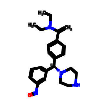 C=C(c1ccc([C@@H](c2cccc(N=O)c2)N2CCNCC2)cc1)N(CC)CC